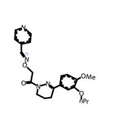 CCCOc1cc(C2=NN(C(=O)CO/N=C/c3ccncc3)CCC2)ccc1OC